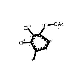 CC(=O)OOc1ccc(C)c(Cl)c1Cl